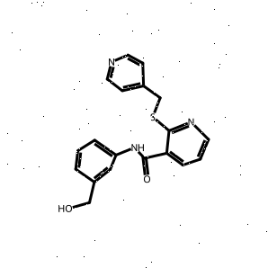 O=C(Nc1cccc(CO)c1)c1cccnc1SCc1ccncc1